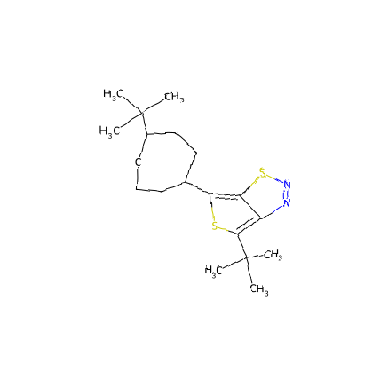 CC(C)(C)c1sc(C2CCCC(C(C)(C)C)CC2)c2snnc12